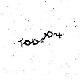 CC(=O)Nc1ccc(-c2ccc(N/C=C/C3CC34CCN(CCC(C)(C)C)CC4)nn2)cc1